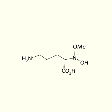 CON(O)[C@@H](CCCN)C(=O)O